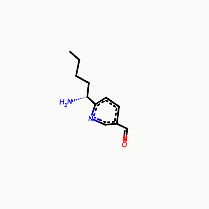 CCCC[C@@H](N)c1ccc(C=O)cn1